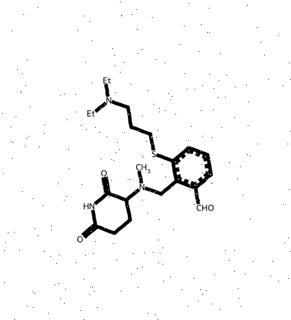 CCN(CC)CCCSc1cccc(C=O)c1CN(C)C1CCC(=O)NC1=O